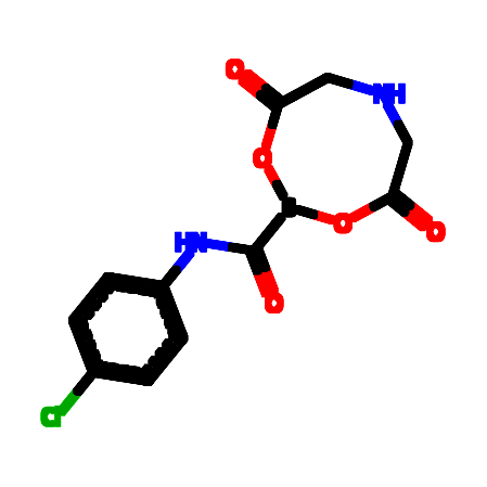 O=C1CNCC(=O)OB(C(=O)Nc2ccc(Cl)cc2)O1